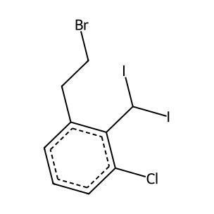 Clc1cccc(CCBr)c1C(I)I